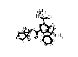 CNC(=O)c1cc(C(=O)N[C@H]2[C@@H]3COC[C@@H]32)cc2c1OC[C@@]2(C)c1ccccc1